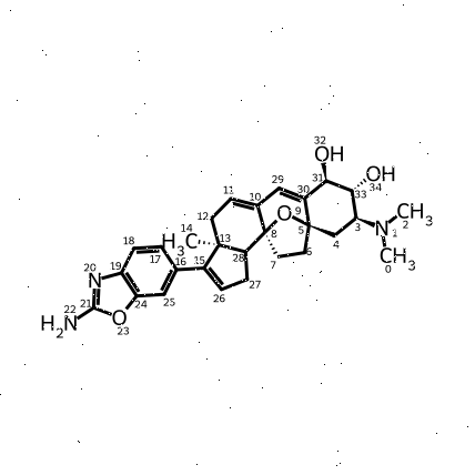 CN(C)[C@H]1C[C@@]23CC[C@@]4(O2)C(=CC[C@]2(C)C(c5ccc6nc(N)oc6c5)=CCC24)C=C3[C@@H](O)[C@@H]1O